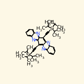 CC(C)[Si](C#Cc1c2nc3ccccc3nc2c(C#C[Si](C(C)C)(C(C)C)C(C)C)c2nc3ccccc3nc12)(C(C)C)C(C)C